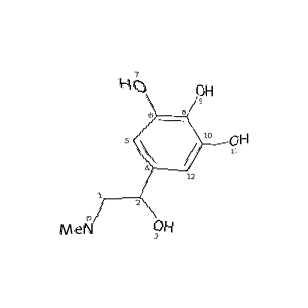 CNCC(O)c1cc(O)c(O)c(O)c1